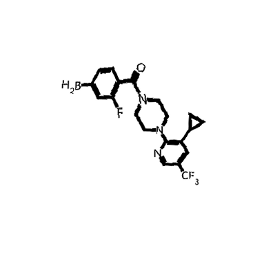 Bc1ccc(C(=O)N2CCN(c3ncc(C(F)(F)F)cc3C3CC3)CC2)c(F)c1